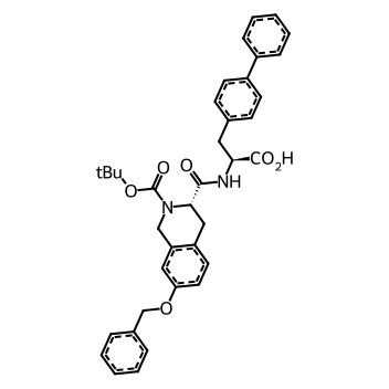 CC(C)(C)OC(=O)N1Cc2cc(OCc3ccccc3)ccc2C[C@H]1C(=O)N[C@@H](Cc1ccc(-c2ccccc2)cc1)C(=O)O